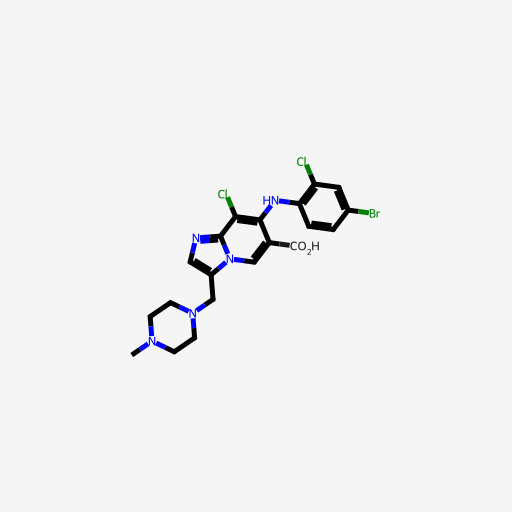 CN1CCN(Cc2cnc3c(Cl)c(Nc4ccc(Br)cc4Cl)c(C(=O)O)cn23)CC1